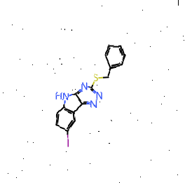 Ic1ccc2[nH]c3nc(SCc4ccccc4)nnc3c2c1